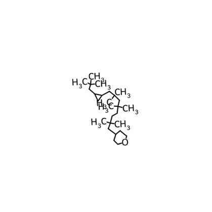 CC(C)(C)CC1CC1CC(C)(C)CC(C)(C)CCC(C)(C)CC1CCOCC1